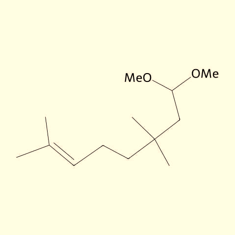 COC(CC(C)(C)CCC=C(C)C)OC